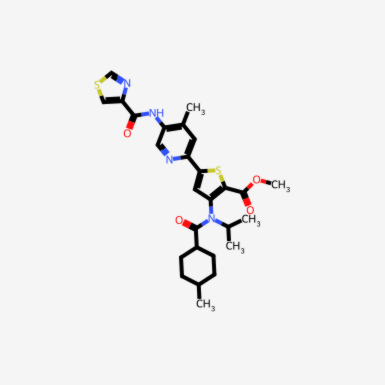 COC(=O)c1sc(-c2cc(C)c(NC(=O)c3cscn3)cn2)cc1N(C(=O)C1CCC(C)CC1)C(C)C